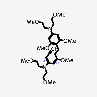 C#C/C=C(\C=C(/CCc1c(OC)cc(N(CCOC)CCOC)cc1OC)OC)N(CCOC)CCOC